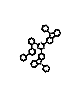 c1ccc(-c2cccc(-c3ccccc3-c3nc(-c4ccc5c(c4)c4ccccc4n5-c4ccccc4)nc(-c4ccc5c6ccccc6n(-c6ccccc6)c5c4)n3)c2)cc1